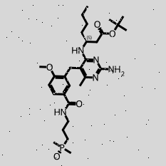 CCCC[C@@H](CC(=O)OC(C)(C)C)Nc1nc(N)nc(C)c1Cc1cc(C(=O)NCCCP(C)(C)=O)ccc1OC